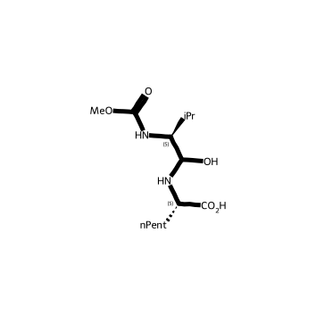 CCCCC[C@H](NC(O)[C@@H](NC(=O)OC)C(C)C)C(=O)O